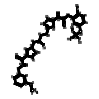 COc1ccnc(CNC(=O)c2cn(CC(F)CCc3nnc(NC(=O)Cc4cc(OC(F)(F)F)ccc4F)s3)nn2)c1